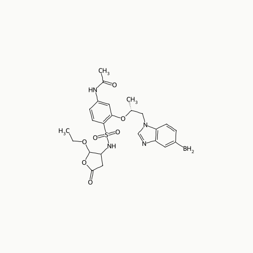 Bc1ccc2c(c1)ncn2C[C@@H](C)Oc1cc(NC(C)=O)ccc1S(=O)(=O)NC1CC(=O)OC1OCC